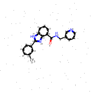 O=C(NCc1cccnc1)c1cccc2[nH]c(-c3cccc(C(F)(F)F)c3)nc12